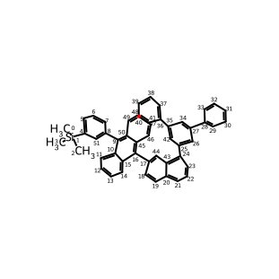 C[Si](C)(C)c1cccc(-c2c3ccccc3c(-c3ccc4cccc(-c5cc(-c6ccccc6)cc(-c6ccccc6)c5)c4c3)c3ccccc23)c1